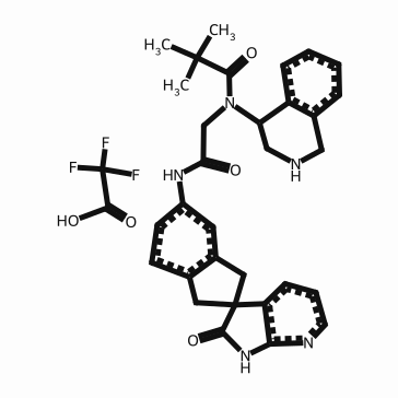 CC(C)(C)C(=O)N(CC(=O)Nc1ccc2c(c1)CC1(C2)C(=O)Nc2ncccc21)C1CNCc2ccccc21.O=C(O)C(F)(F)F